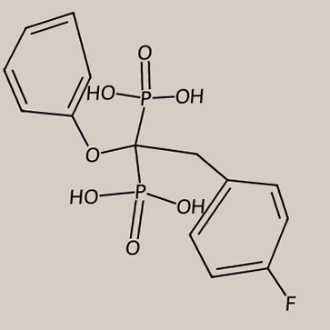 O=P(O)(O)C(Cc1ccc(F)cc1)(Oc1ccccc1)P(=O)(O)O